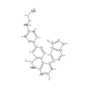 Cc1nc(NC(C)c2cccc(-c3cnc(NCCO)nc3)c2)cc(-c2ccc3occ(C)c3c2)n1